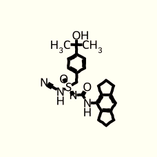 CC(C)(O)c1ccc(CS(=O)(=NC(=O)Nc2c3c(cc4c2CCC4)CCC3)NC#N)cc1